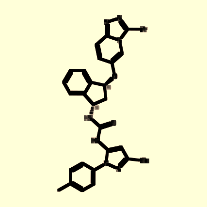 Cc1ccc(-n2nc(C(C)(C)C)cc2NC(=O)N[C@H]2C[C@H](Oc3ccc4nnc(C(C)C)n4c3)c3ccccc32)cc1